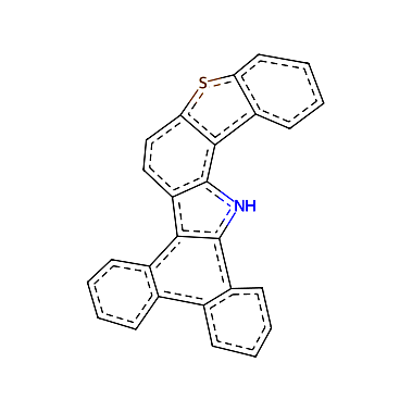 c1ccc2c(c1)sc1ccc3c([nH]c4c5ccccc5c5ccccc5c34)c12